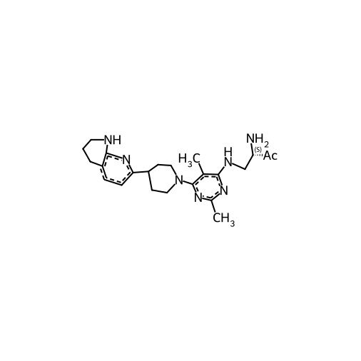 CC(=O)[C@@H](N)CNc1nc(C)nc(N2CCC(c3ccc4c(n3)NCCC4)CC2)c1C